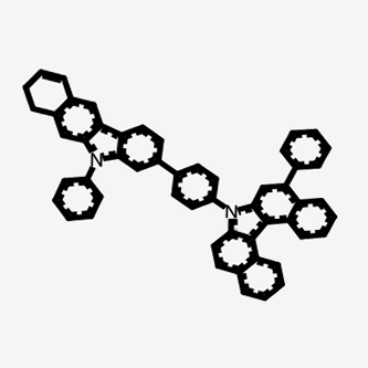 C1=Cc2cc3c4ccc(-c5ccc(-n6c7ccc8ccccc8c7c7c8ccccc8c(-c8ccccc8)cc76)cc5)cc4n(-c4ccccc4)c3cc2CC1